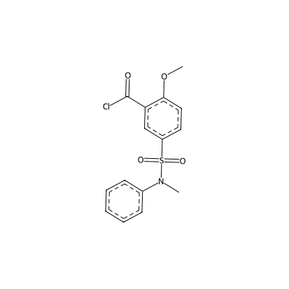 COc1ccc(S(=O)(=O)N(C)c2ccccc2)cc1C(=O)Cl